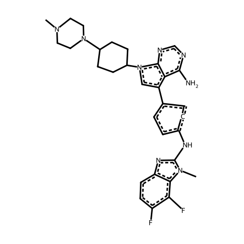 CN1CCN(C2CCC(n3cc(-c4ccc(Nc5nc6ccc(F)c(F)c6n5C)cc4)c4c(N)ncnc43)CC2)CC1